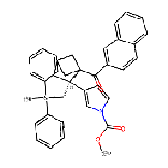 CC(C)(C)OC(=O)n1ccc([C@@]2(C[Si](c3ccccc3)(c3ccccc3)C(C)(C)C)CC3CC2(C(=O)c2ccc4ccccc4c2)C3)c1